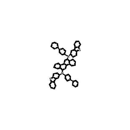 c1ccc(-c2ccc(N(c3ccc4sc5ccccc5c4c3)c3cc4c5ccccc5c(N(c5ccc(-c6ccccc6)cc5)c5ccc6sc7ccccc7c6c5)cc4c4ccccc34)cc2)cc1